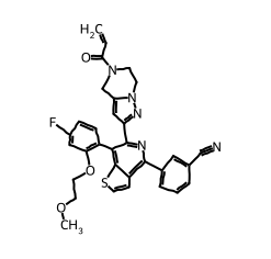 C=CC(=O)N1CCn2nc(-c3nc(-c4cccc(C#N)c4)c4ccsc4c3-c3ccc(F)cc3OCCOC)cc2C1